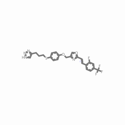 Fc1cc(C(F)(F)F)ccc1/C=C/c1nc(COc2ccc(SCCCc3c[nH]nn3)cc2)co1